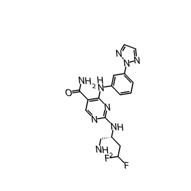 NC[C@@H](CC(F)F)Nc1ncc(C(N)=O)c(Nc2cccc(-n3nccn3)c2)n1